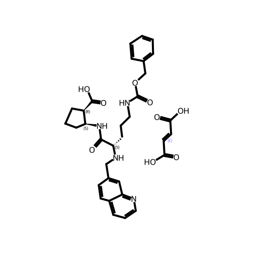 O=C(NCCC[C@H](NCc1ccc2cccnc2c1)C(=O)N[C@H]1CCC[C@H]1C(=O)O)OCc1ccccc1.O=C(O)/C=C/C(=O)O